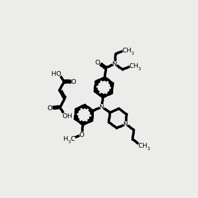 CCCN1CCC(N(c2ccc(C(=O)N(CC)CC)cc2)c2cccc(OC)c2)CC1.O=C(O)C=CC(=O)O